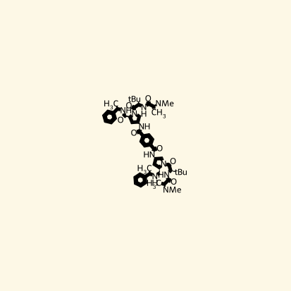 CN[C@@H](C)C(=O)N[C@H](C(=O)N1C[C@@H](NC(=O)c2ccc(C(=O)N[C@H]3C[C@@H](C(=O)N[C@H](C)c4ccccc4)N(C(=O)[C@@H](NC(=O)[C@H](C)NC)C(C)(C)C)C3)cc2)C[C@H]1CN[C@H](C)c1ccccc1)C(C)(C)C